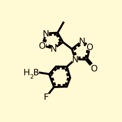 Bc1cc(-n2c(-c3nonc3C)noc2=O)ccc1F